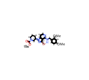 COc1ccc(CNc2nccc3c2c(Br)nn3C2CCCN(C(=O)OC(C)(C)C)C2)c(OC)c1